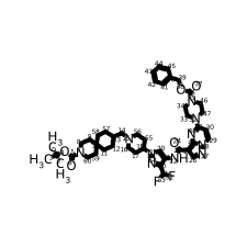 CC(C)(C)OC(=O)N1CCC2(CCC(CN3CCC(n4cc(NC(=O)c5cnn6ccc(N7CCN(C(=O)OCc8ccccc8)CC7)nc56)c(C(F)F)n4)CC3)CC2)CC1